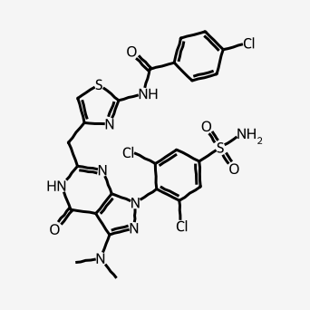 CN(C)c1nn(-c2c(Cl)cc(S(N)(=O)=O)cc2Cl)c2nc(Cc3csc(NC(=O)c4ccc(Cl)cc4)n3)[nH]c(=O)c12